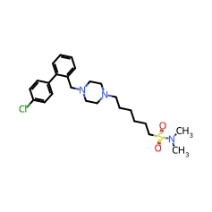 CN(C)S(=O)(=O)CCCCCCN1CCN(Cc2ccccc2-c2ccc(Cl)cc2)CC1